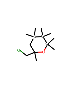 CC1(CCl)C[Si](C)(C)[Si](C)(C)[Si](C)(C)O1